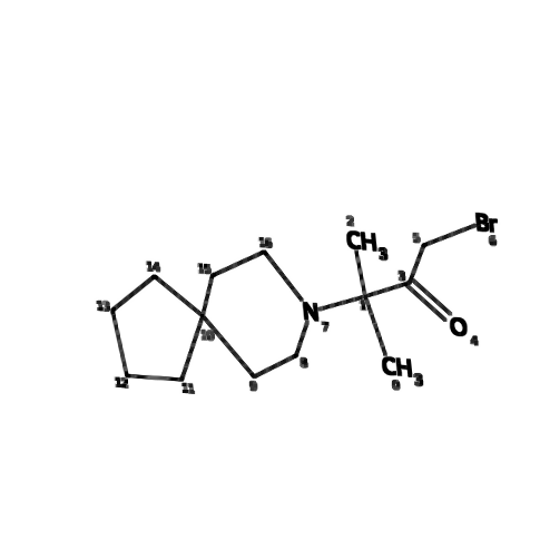 CC(C)(C(=O)CBr)N1CCC2(CCCC2)CC1